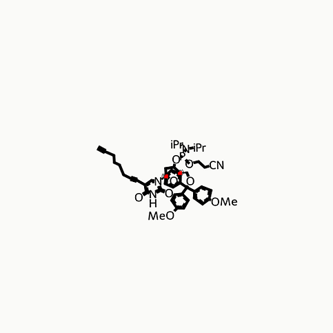 C#CCCCCC#Cc1cn([C@H]2CC(OP(OCCC#N)N(C(C)C)C(C)C)[C@@H](COC(c3ccccc3)(c3ccc(OC)cc3)c3ccc(OC)cc3)O2)c(=O)[nH]c1=O